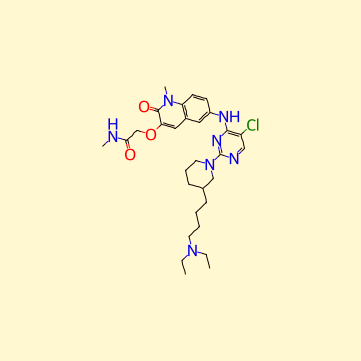 CCN(CC)CCCCC1CCCN(c2ncc(Cl)c(Nc3ccc4c(c3)cc(OCC(=O)NC)c(=O)n4C)n2)C1